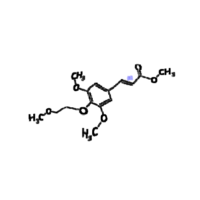 COCCOc1c(OC)cc(/C=C/C(=O)OC)cc1OC